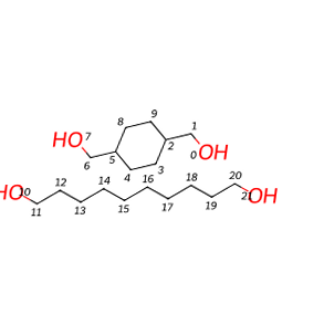 OCC1CCC(CO)CC1.OCCCCCCCCCCO